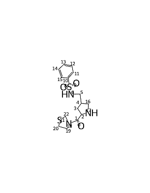 O=C(C1CC(CNS(=O)(=O)c2ccccc2)CN1)N1CCSC1